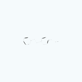 ICCC1=CCC(CCC2C=CC=CC2)C=C1